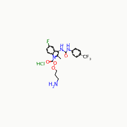 Cc1c(NC(=O)Nc2ccc(C(F)(F)F)cc2)c2cc(F)ccc2n1C(=O)OOCCCN.Cl